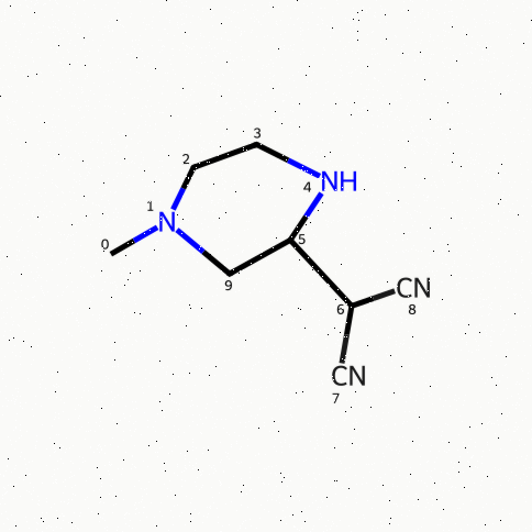 CN1CCNC(C(C#N)C#N)C1